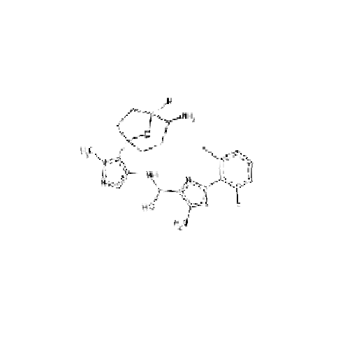 Cn1ncc(NC(O)c2nc(-c3c(F)cccc3F)sc2N)c1[C@]12CC[C@H](O1)[C@@H](N)CC2